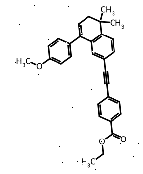 CCOC(=O)c1ccc(C#Cc2ccc3c(c2)C(c2ccc(OC)cc2)=CCC3(C)C)cc1